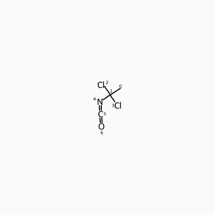 CC(Cl)(Cl)N=C=O